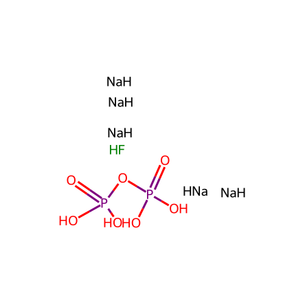 F.O=P(O)(O)OP(=O)(O)O.[NaH].[NaH].[NaH].[NaH].[NaH]